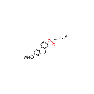 COc1ccc2c(c1)CCc1cc(OC(=O)CCCCC(C)=O)ccc1-2